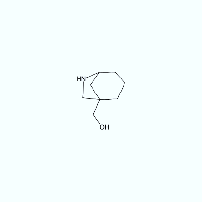 OCC12CCCC(C1)NC2